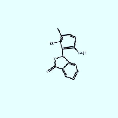 CCc1c(C)ccc(S(=O)(=O)O)c1C1OC(=O)c2ccccc21